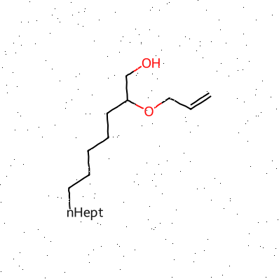 C=CCOC(CO)CCCCCCCCCCCC